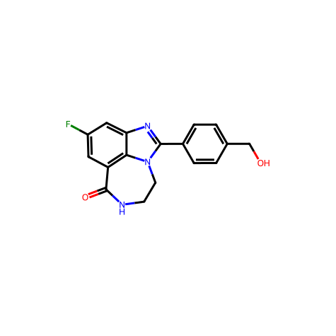 O=C1NCCn2c(-c3ccc(CO)cc3)nc3cc(F)cc1c32